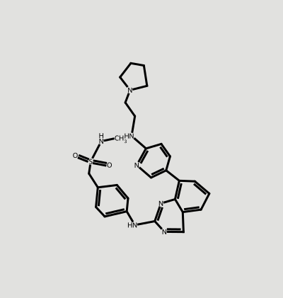 CNS(=O)(=O)Cc1ccc(Nc2ncc3cccc(-c4ccc(NCCN5CCCC5)nc4)c3n2)cc1